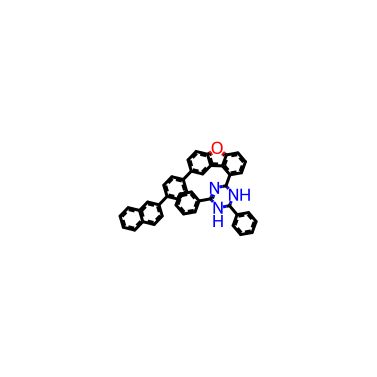 c1ccc(C2=NC(c3cccc4oc5ccc(-c6ccc(-c7ccc8ccccc8c7)cc6)cc5c34)NC(c3ccccc3)N2)cc1